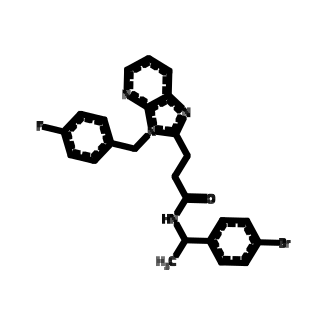 CC(NC(=O)CCc1nc2cccnc2n1Cc1ccc(F)cc1)c1ccc(Br)cc1